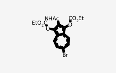 CCOC(=O)Oc1c2ccc(Br)ccc-2c(OC(=O)OCC)c1NC(C)=O